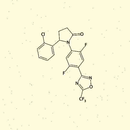 O=C1CCC(c2ccccc2Cl)N1c1cc(F)c(-c2noc(C(F)(F)F)n2)cc1F